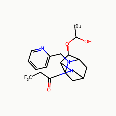 CC(C)(C)C(O)O[C@@H]1C2C3CC(CC1N3Cc1ccccn1)CN2C(=O)CC(F)(F)F